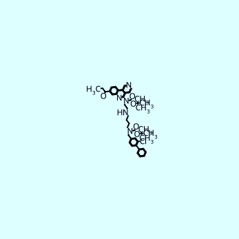 CCC(=O)c1ccc2c(c1)nc(N(CCNCCCCN(Cc1ccc(-c3ccccc3)c(Cl)c1)C(=O)OC(C)(C)C)C(=O)OC(C)(C)C)c1ccncc12